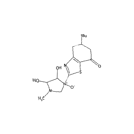 CN1C[N+]([O-])(c2nc3c(s2)C(=O)CC(C(C)(C)C)C3)C(O)C1O